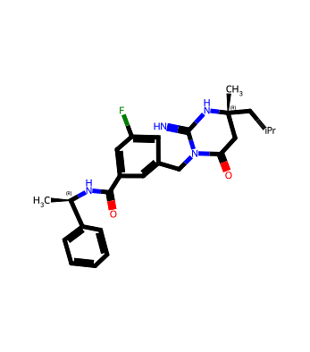 CC(C)C[C@]1(C)CC(=O)N(Cc2cc(F)cc(C(=O)N[C@H](C)c3ccccc3)c2)C(=N)N1